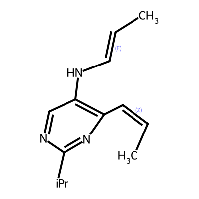 C/C=C\c1nc(C(C)C)ncc1N/C=C/C